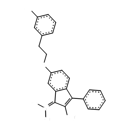 CCOC(=O)C1=C(c2ccccc2)c2ccc(OCCc3cccc(C(F)(F)F)c3)cc2/C1=[N+](/C)O